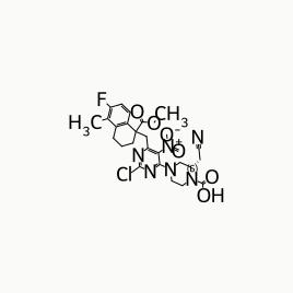 COC(=O)C1(Cc2nc(Cl)nc(N3CCN(C(=O)O)[C@@H](CC#N)C3)c2[N+](=O)[O-])CCCc2c1ccc(F)c2C